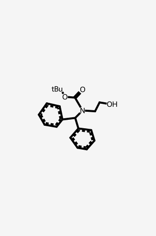 CC(C)(C)OC(=O)N(CCO)C(c1ccccc1)c1ccccc1